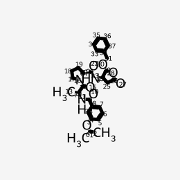 CC(C)Oc1cccc(C(=O)N[C@@H](C)C(=O)N2CCC[C@H]2C(=O)N[C@H]2CC(=O)OC2OCc2ccccc2)c1